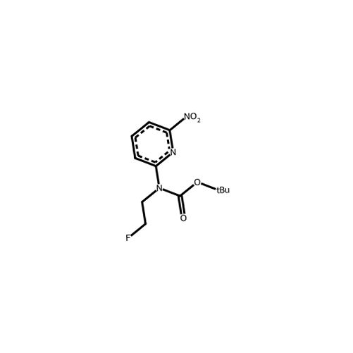 CC(C)(C)OC(=O)N(CCF)c1cccc([N+](=O)[O-])n1